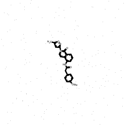 COc1ccc(CC(=O)Nc2cccc3c(=O)n(-c4cc(C)on4)ccc23)cc1